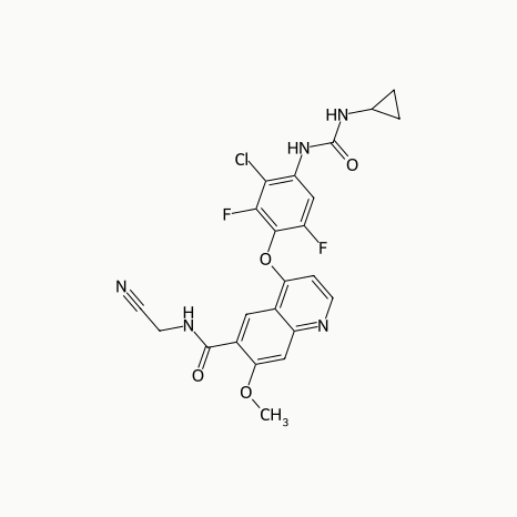 COc1cc2nccc(Oc3c(F)cc(NC(=O)NC4CC4)c(Cl)c3F)c2cc1C(=O)NCC#N